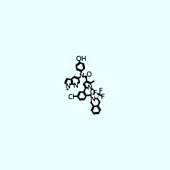 Cc1c(C(=O)N(c2ccc(O)cc2)c2cnc3c(ccn3C)c2)cc(-c2cc(Cl)ccc2C(=O)N2Cc3ccccc3C[C@H]2C(F)(F)F)n1C